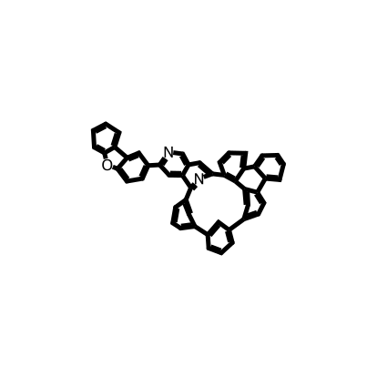 c1cc2cc(c1)c1ccc3c4ccccc4c4cccc(c5cc6cnc(-c7ccc8oc9ccccc9c8c7)cc6c(n5)c5cccc2c5)c4c3c1